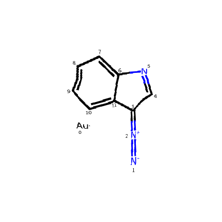 [Au].[N-]=[N+]=C1C=Nc2ccccc21